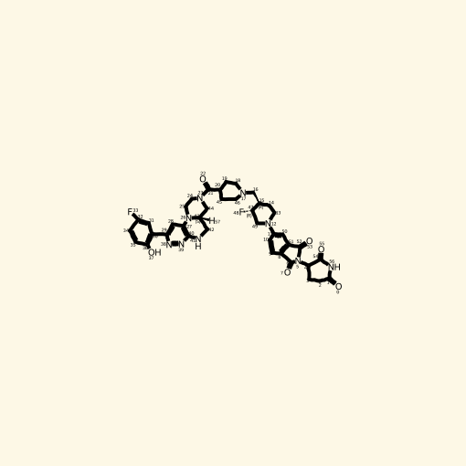 O=C1CCC(N2C(=O)c3ccc(N4CC[C@H](CN5CCC(C(=O)N6CCN7c8cc(-c9cc(F)ccc9O)nnc8NC[C@H]7C6)CC5)[C@@H](F)C4)cc3C2=O)C(=O)N1